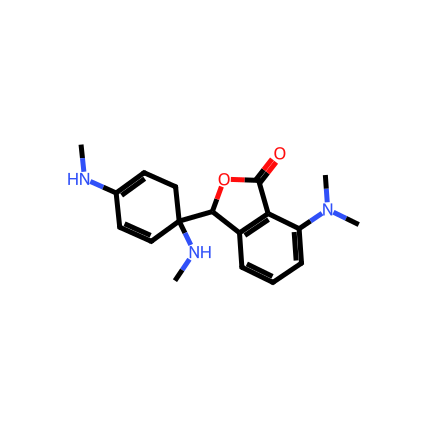 CNC1=CCC(NC)(C2OC(=O)c3c2cccc3N(C)C)C=C1